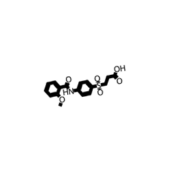 COc1ccccc1C(=O)Nc1ccc(S(=O)(=O)CCC(=O)O)cc1